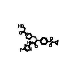 O=C(Nc1ncc(F)s1)[C@H](C[C@H]1CCN(C(=O)CO)C1)c1ccc(S(=O)(=O)C2CC2)cc1